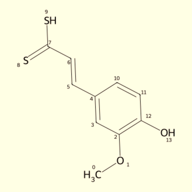 COc1cc(C=CC(=S)S)ccc1O